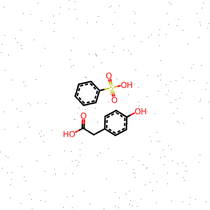 O=C(O)Cc1ccc(O)cc1.O=S(=O)(O)c1ccccc1